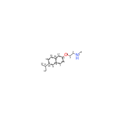 CNCCOc1ccc2cc(C(C)C)ccc2c1